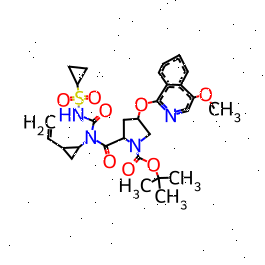 C=CC1CC1N(C(=O)NS(=O)(=O)C1CC1)C(=O)C1CC(Oc2ncc(OC)c3ccccc23)CN1C(=O)OC(C)(C)C